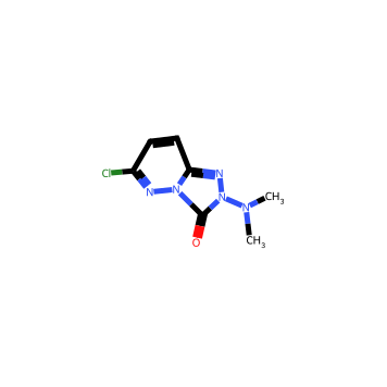 CN(C)n1nc2ccc(Cl)nn2c1=O